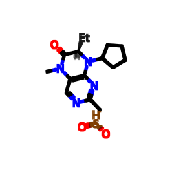 CC[C@@H]1C(=O)N(C)c2cnc(C[SH](=O)=O)nc2N1C1CCCC1